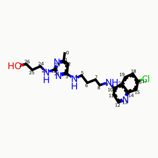 Cc1cc(NCCCCNc2ccnc3cc(Cl)ccc23)nc(NCCCO)n1